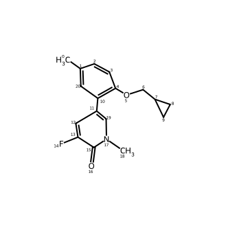 Cc1ccc(OCC2CC2)c(-c2cc(F)c(=O)n(C)c2)c1